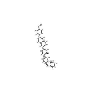 ICc1ccc(-c2ccc3cc(-c4ccc(-c5ccc6sc7ncccc7c6c5)nc4)ccc3c2)cc1